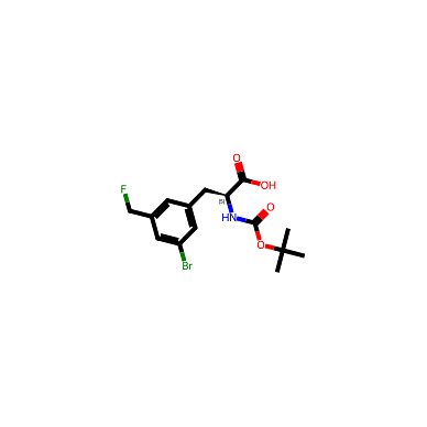 CC(C)(C)OC(=O)N[C@@H](Cc1cc(Br)cc(CF)c1)C(=O)O